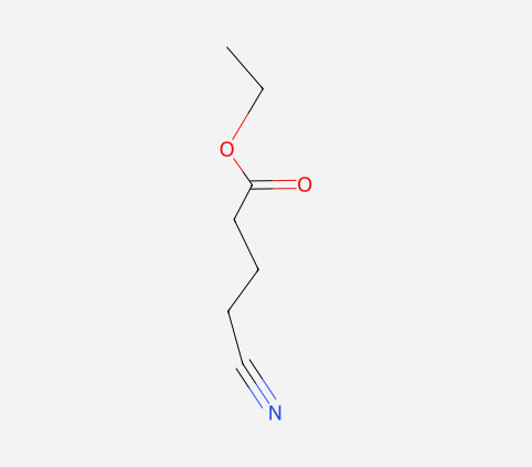 CCOC(=O)CCCC#N